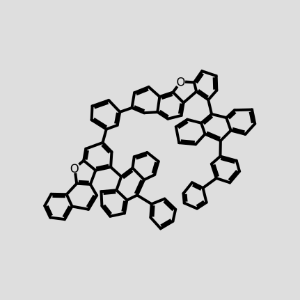 c1ccc(-c2cccc(-c3c4ccccc4c(-c4cccc5oc6c7ccc(-c8cccc(-c9cc(-c%10c%11ccccc%11c(-c%11ccccc%11)c%11ccccc%10%11)c%10c(c9)oc9c%11ccccc%11ccc9%10)c8)cc7ccc6c45)c4ccccc34)c2)cc1